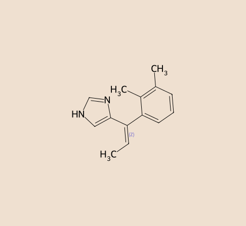 C/C=C(\c1c[nH]cn1)c1cccc(C)c1C